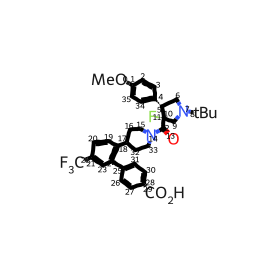 COc1ccc([C@@H]2CN(C(C)(C)C)C[C@@]2(F)C(=O)N2CCC(c3ccc(C(F)(F)F)cc3-c3ccc(C(=O)O)cc3)CC2)cc1